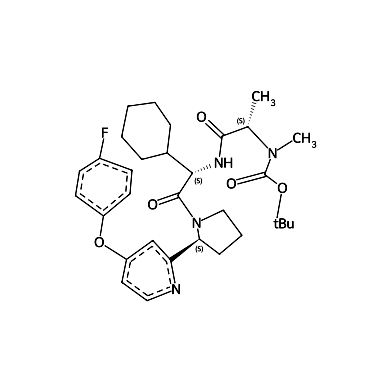 C[C@@H](C(=O)N[C@H](C(=O)N1CCC[C@H]1c1cc(Oc2ccc(F)cc2)ccn1)C1CCCCC1)N(C)C(=O)OC(C)(C)C